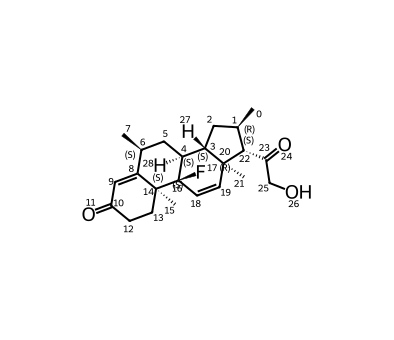 C[C@@H]1C[C@H]2[C@@H]3C[C@H](C)C4=CC(=O)CC[C@]4(C)[C@@]3(F)C=C[C@]2(C)[C@H]1C(=O)CO